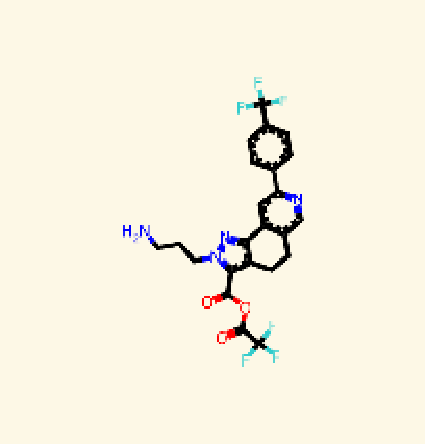 NCCCn1nc2c(c1C(=O)OC(=O)C(F)(F)F)CCc1cnc(-c3ccc(C(F)(F)F)cc3)cc1-2